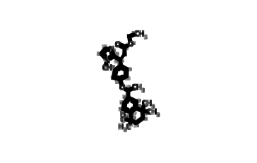 CCOC(=O)C[C@@H](c1ccc(OC(C)c2ccc3c(c2)C(C)(C)CCC3(C)C)cc1)c1nccn1C